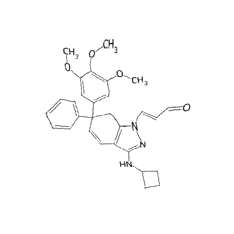 COc1cc(C2(c3ccccc3)C=Cc3c(NC4CCC4)nn(C=CC=O)c3C2)cc(OC)c1OC